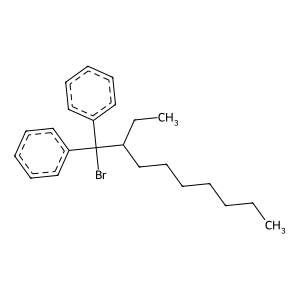 CCCCCCCC(CC)C(Br)(c1ccccc1)c1ccccc1